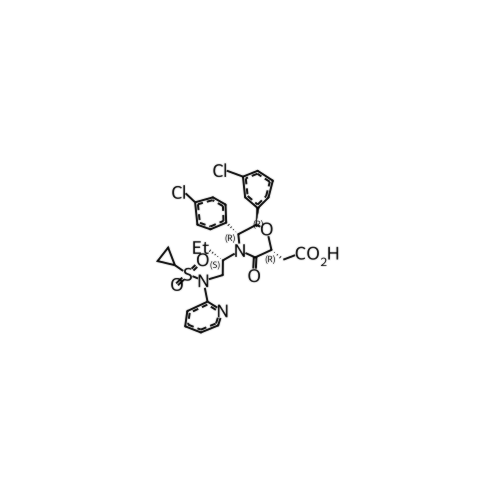 CC[C@@H](CN(c1ccccn1)S(=O)(=O)C1CC1)N1C(=O)[C@@H](CC(=O)O)O[C@H](c2cccc(Cl)c2)[C@H]1c1ccc(Cl)cc1